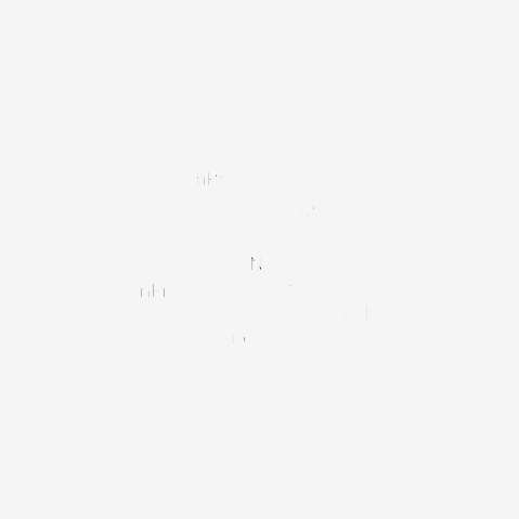 CCCC1OCC2(C)COC(CCC)N12